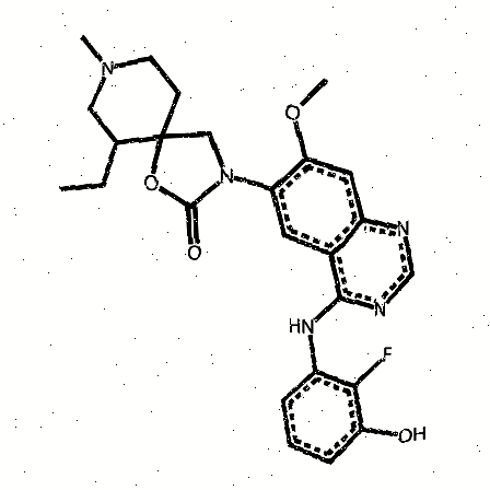 CCC1CN(C)CCC12CN(c1cc3c(Nc4cccc(O)c4F)ncnc3cc1OC)C(=O)O2